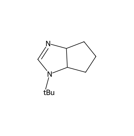 CC(C)(C)N1C=NC2CCCC21